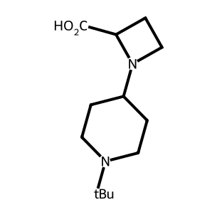 CC(C)(C)N1CCC(N2CCC2C(=O)O)CC1